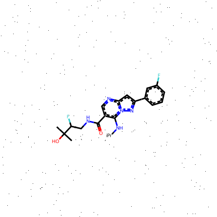 CC(C)Nc1c(C(=O)NCC(F)C(C)(C)O)cnc2cc(-c3cccc(F)c3)nn12